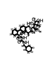 CCC(C)c1nc(SC)c(C(O)(C(=O)O)C(F)(F)F)n1Cc1ccc(-c2ccccc2S(=O)(=O)NC(=O)NCC2CCCCC2)cc1